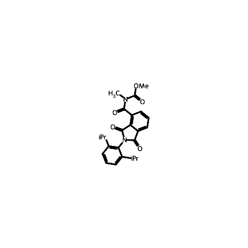 COC(=O)N(C)C(=O)c1cccc2c1C(=O)N(c1c(C(C)C)cccc1C(C)C)C2=O